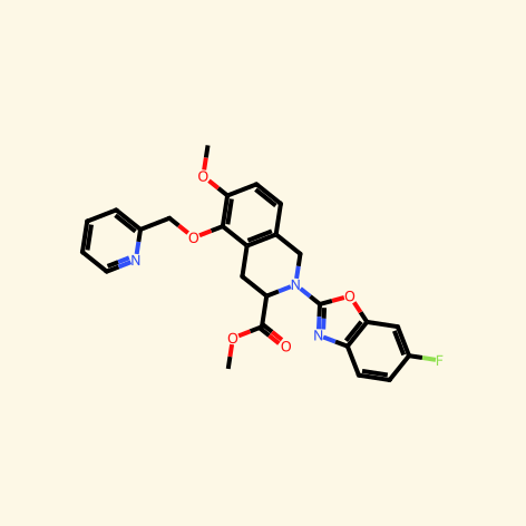 COC(=O)C1Cc2c(ccc(OC)c2OCc2ccccn2)CN1c1nc2ccc(F)cc2o1